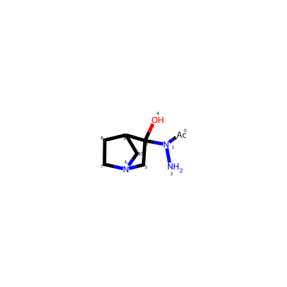 CC(=O)N(N)C1(O)CN2CCC1C2